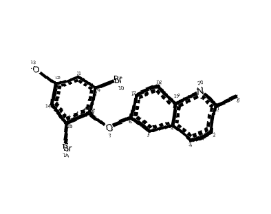 Cc1ccc2cc(Oc3c(Br)cc([O])cc3Br)ccc2n1